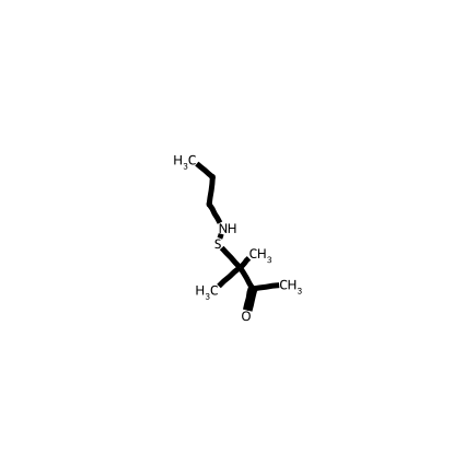 CCCNSC(C)(C)C(C)=O